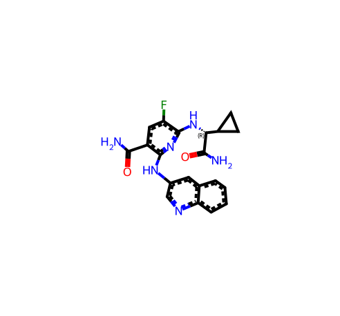 NC(=O)c1cc(F)c(N[C@@H](C(N)=O)C2CC2)nc1Nc1cnc2ccccc2c1